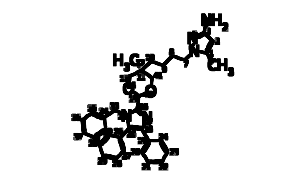 Cc1cc(N)nn1CCCC[C@]1(C)CO[C@H](c2nc(-c3ccccc3)c(-c3ccccc3)n2Cc2ccccc2)OC1